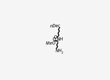 CCCCCCCCCCCCCCCC(=O)N[C@@H](CCCCN)C(=O)OC